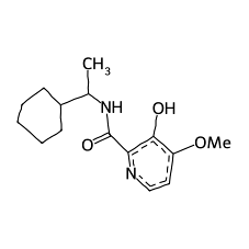 COc1ccnc(C(=O)NC(C)C2CCCCC2)c1O